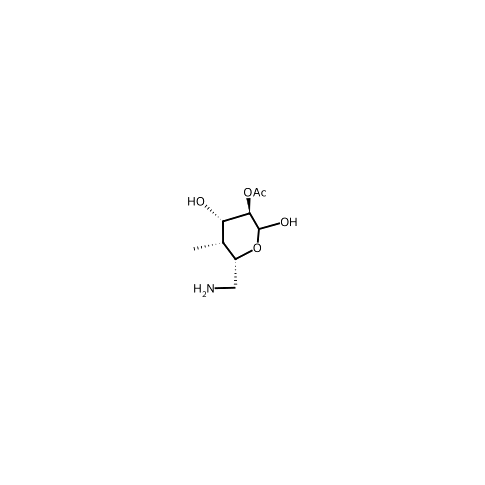 CC(=O)O[C@H]1C(O)O[C@H](CN)[C@H](C)[C@@H]1O